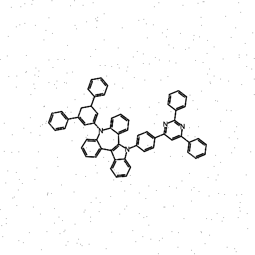 C1=C(c2ccccc2)CC(c2ccccc2)C=C1N1c2ccccc2-c2c(n(-c3ccc(-c4cc(-c5ccccc5)nc(-c5ccccc5)n4)cc3)c3ccccc23)-c2ccccc21